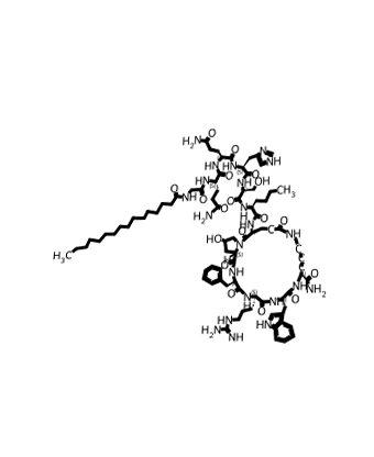 CCCCCCCCCCCCCCCC(=O)NCC(=O)N[C@@H](CCC(N)=O)C(=O)N[C@@H](CCC(N)=O)C(=O)N[C@@H](Cc1c[nH]cn1)C(=O)N[C@@H](CO)C(=O)N[C@@H](CCCC)C(=O)N[C@H]1CCC(=O)NCCCC[C@@H](C(N)=O)NC(=O)[C@H](Cc2c[nH]c3ccccc23)NC(=O)[C@H](CCCNC(=N)N)NC(=O)[C@@H](Cc2ccccc2)NC(=O)[C@@H]2CC(O)CN2C1=O